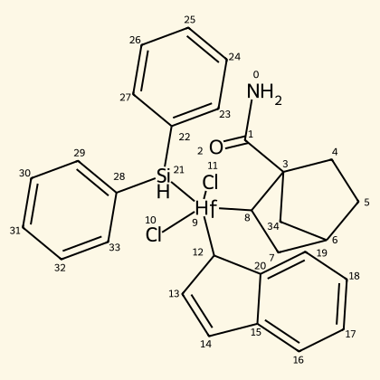 NC(=O)C12CCC(C[CH]1[Hf]([Cl])([Cl])([CH]1C=Cc3ccccc31)[SiH](c1ccccc1)c1ccccc1)C2